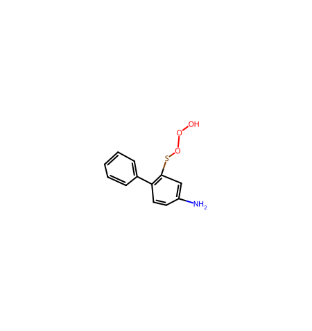 Nc1ccc(-c2ccccc2)c(SOOO)c1